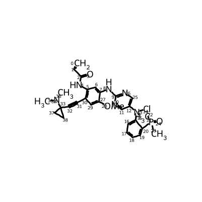 C=CC(=O)Nc1cc(Nc2ncc(N(Cl)c3ccccc3P(C)(C)=O)cn2)c(OC)cc1C#CC1(N(C)C)CC1